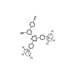 N#Cc1ccc(-c2cc(C#N)cc(-c3nc(-c4ccc(C56C[C@H]7C[C@@H](C5)C[C@@H](C6)C7)cc4)nc(-c4ccc(C56C[C@H]7C[C@H](C5)C[C@@H](C6)C7)cc4)n3)c2)cc1